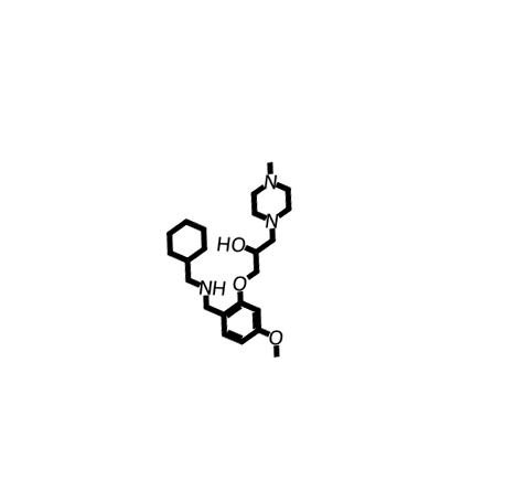 COc1ccc(CNCC2CCCCC2)c(OCC(O)CN2CCN(C)CC2)c1